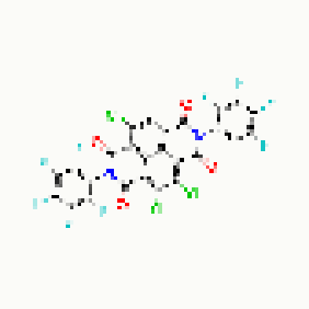 O=C1c2cc(Cl)c3c4c(c(Cl)c(Cl)c(c24)C(=O)N1c1c(F)c(F)c(F)c(F)c1F)C(=O)N(c1c(F)c(F)c(F)c(F)c1F)C3=O